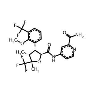 COc1c([C@@H]2[C@@H](C(=O)Nc3ccnc(C(N)=O)c3)O[C@](C)(C(F)(F)F)[C@@H]2C)cccc1C(F)(F)F